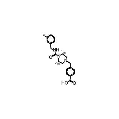 C[C@@H]1CN(Cc2ccc(C(=O)O)cc2)C[C@H](C)N1C(=O)NCc1cccc(F)c1